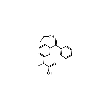 CC(C(=O)O)c1cccc(C(=O)c2ccccc2)c1.CCO